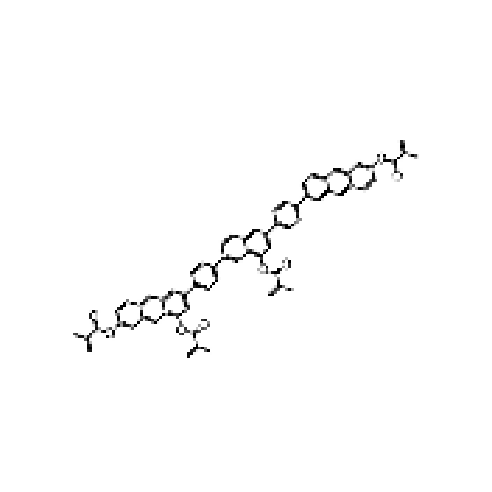 C=C(C)C(=O)Oc1ccc2cc3cc(-c4ccc(-c5cc(OC(=O)C(=C)C)c6cc(-c7ccc(-c8cc(OC(=O)C(=C)C)c9cc%10cc(OC(=O)C(=C)C)ccc%10cc9c8)cc7)ccc6c5)cc4)ccc3cc2c1